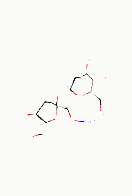 NOC[C@@]1(O[C@H]2O[C@H](CO)[C@@H](O)[C@H](O)[C@H]2O)O[C@H](CO)[C@@H](O)[C@@H]1O